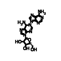 Nc1ncnc2c1ncn2N1C=Nc2c(ncn2[C@@H]2O[C@H](CO)C(O)C2O)C1N